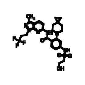 Cc1nn(CCC(F)(F)F)c2nc(NC(=O)c3ccc(NS(=O)(=O)CCO)cc3N3CCC4(CC3)CC4)ccc12